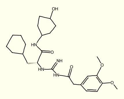 COc1ccc(CC(=O)NC(=N)N[C@H](CC2CCCCC2)C(=O)NC2CCC(O)CC2)cc1OC